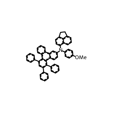 COc1ccc(N(c2ccc3c(c2)c2ccccc2c2c(-c4ccccc4)cc(-c4ccccc4)c(-c4ccccc4)c32)c2ccc3c4c(cccc24)CC3)cc1